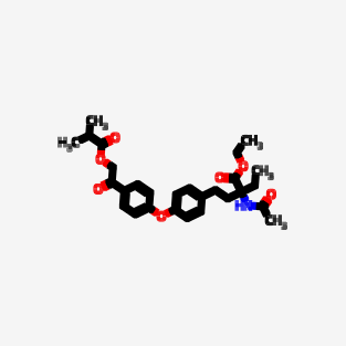 CCOC(=O)C(CC)(CCc1ccc(Oc2ccc(C(=O)COC(=O)C(C)C)cc2)cc1)NC(C)=O